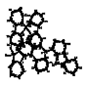 CC1(C)c2ccccc2-c2c(-c3ccccc3N(c3ccc4c(c3)-c3ccccc3C43c4ccccc4-c4ccccc43)c3cccc4c3sc3ccccc34)cccc21